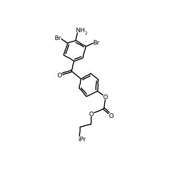 CC(C)CCOC(=O)Oc1ccc(C(=O)c2cc(Br)c(N)c(Br)c2)cc1